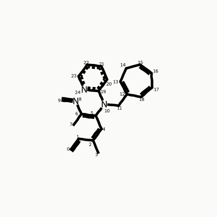 C=C/C(C)=C\C(=C(/C)N=C)N(CC1=CCC=CC=C1)c1ccccn1